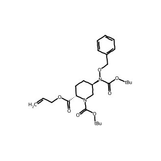 C=CCOC(=O)[C@@H]1CC[C@@H](N(OCc2ccccc2)C(=O)OC(C)(C)C)CN1C(=O)OC(C)(C)C